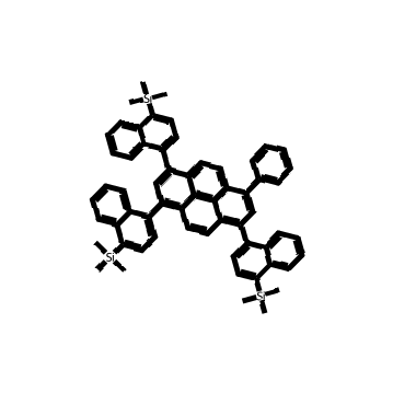 C[Si](C)(C)c1ccc(-c2cc(-c3ccccc3)c3ccc4c(-c5ccc([Si](C)(C)C)c6ccccc56)cc(-c5ccc([Si](C)(C)C)c6ccccc56)c5ccc2c3c45)c2ccccc12